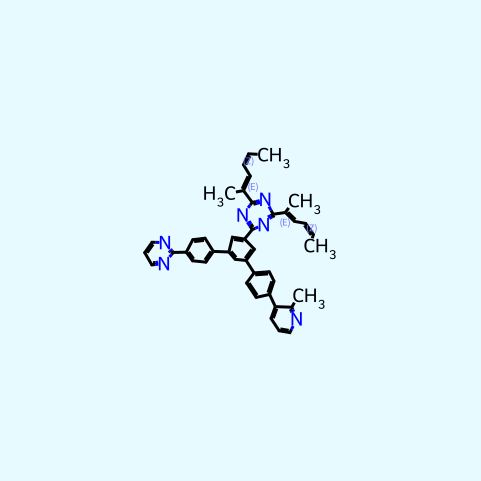 C/C=C\C=C(/C)c1nc(/C(C)=C/C=C\C)nc(-c2cc(-c3ccc(-c4ncccn4)cc3)cc(-c3ccc(-c4cccnc4C)cc3)c2)n1